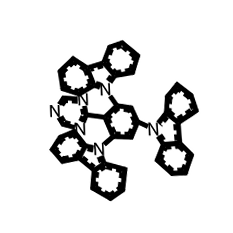 c1ccc2c(c1)c1ccccc1n2-c1cc(-n2c3ccccc3c3ccccc32)c(-c2ncncn2)c(-n2c3ccccc3c3ccccc32)c1